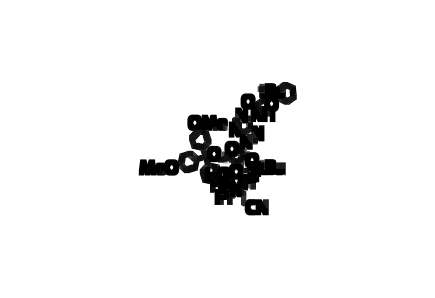 COc1ccc(C(OC[C@H]2O[C@@H](n3cnc4c(NC(=O)C(Oc5ccccc5)C(C)(C)C)ncnc43)[C@H](O[Si](C)(C)C(C)(C)C)[C@@H]2OP(O)N[N+](CCC#N)(C(C)C)C(C)C)(c2ccccc2)c2ccc(OC)cc2)cc1